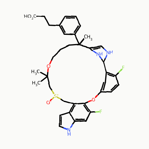 CC1(C)C[S+]([O-])Cc2c(c(F)cc3[nH]ccc23)Oc2ccc(F)c(c2)C2NC=C(N2)C(C)(c2cccc(CCC(=O)O)c2)CCCO1